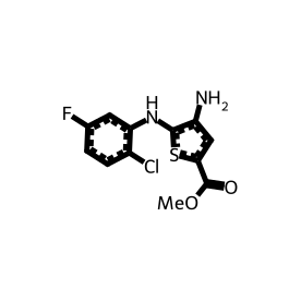 COC(=O)c1cc(N)c(Nc2cc(F)ccc2Cl)s1